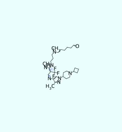 C=N/C(NCCCN(C)CCCCCC=O)=C(\C=N/c1cn(C2CCN(C3CCC3)CC2)nc1C)C(F)(F)F